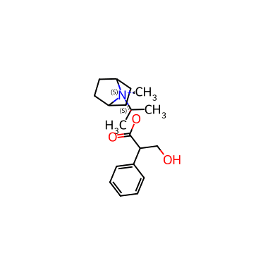 CC(C)[N@@+]1(C)C2CCC1[C@@H](OC(=O)C(CO)c1ccccc1)C2